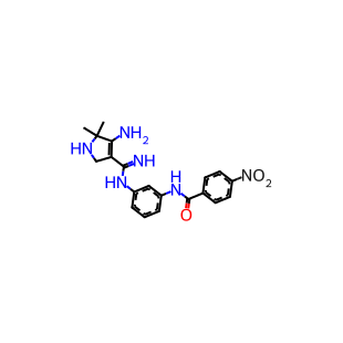 CC1(C)NCC(C(=N)Nc2cccc(NC(=O)c3ccc([N+](=O)[O-])cc3)c2)=C1N